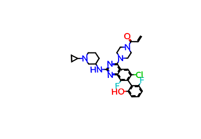 C=CC(=O)N1CCN(c2nc(NC3CCCN(C4CC4)C3)nc3c(F)c(-c4c(O)cccc4F)c(Cl)cc23)CC1